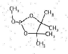 COP1OC(C)(C)C(C)(C)O1